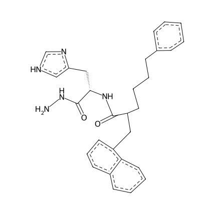 NNC(=O)[C@H](Cc1c[nH]cn1)NC(=O)C(CCCCc1ccccc1)Cc1cccc2ccccc12